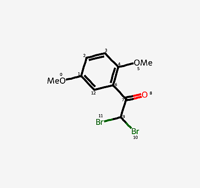 COc1ccc(OC)c(C(=O)C(Br)Br)c1